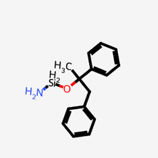 CC(Cc1ccccc1)(O[SiH2]N)c1ccccc1